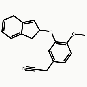 COc1ccc(CC#N)cc1OC1C=C2CC=CC=C2C1